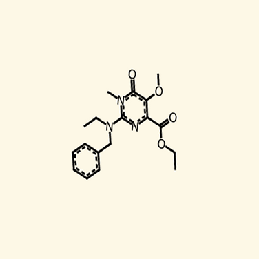 CCOC(=O)c1nc(N(CC)Cc2ccccc2)n(C)c(=O)c1OC